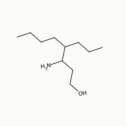 CCCCC(CCC)C(N)CCO